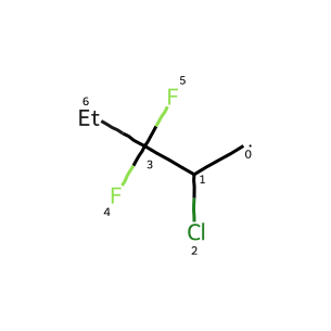 [CH2]C(Cl)C(F)(F)CC